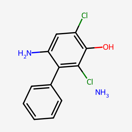 N.Nc1cc(Cl)c(O)c(Cl)c1-c1ccccc1